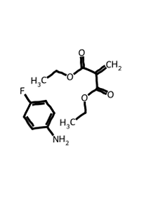 C=C(C(=O)OCC)C(=O)OCC.Nc1ccc(F)cc1